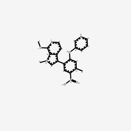 COc1nccc2c(-c3cc([N+](=O)[O-])c(C)cc3Oc3cccnc3)cn(C)c12